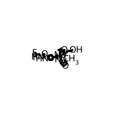 C[C@H]1COCCN1c1cc(C2(S(=O)(=O)CCCO)CC2)nc(-c2ccc(NC(=O)NCC(F)F)cc2)n1